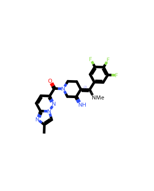 CN/C(=C1/CCN(C(=O)c2ccc3nc(C)cn3n2)CC1=N)c1cc(F)c(F)c(F)c1